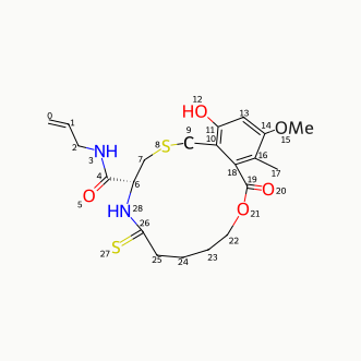 C=CCNC(=O)[C@@H]1CSCc2c(O)cc(OC)c(C)c2C(=O)OCCCCC(=S)N1